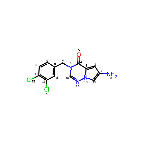 Nc1cc2c(=O)n(Cc3ccc(Cl)c(Cl)c3)cnn2c1